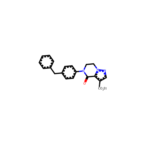 CCOC(=O)c1cnn2c1C(=O)N(c1ccc(Cc3ccccc3)cc1)CC2